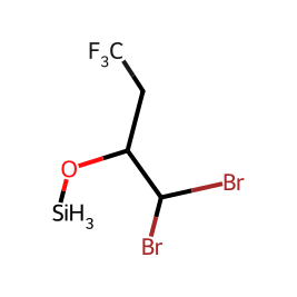 FC(F)(F)CC(O[SiH3])C(Br)Br